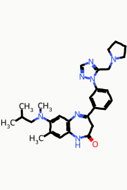 Cc1cc2c(cc1N(C)CC(C)C)N=C(c1cccc(-n3ncnc3CN3CCCC3)c1)CC(=O)N2